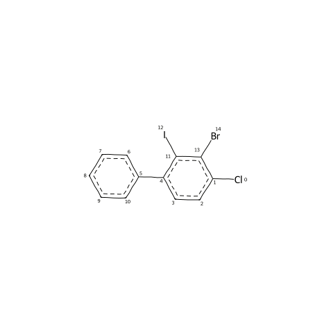 Clc1ccc(-c2ccccc2)c(I)c1Br